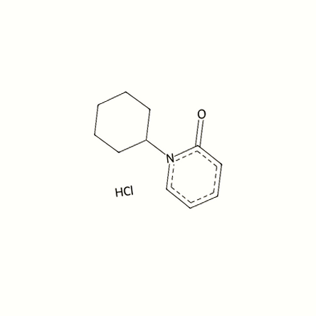 Cl.O=c1ccccn1C1CCCCC1